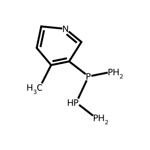 Cc1ccncc1P(P)PP